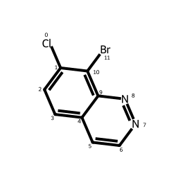 Clc1ccc2ccnnc2c1Br